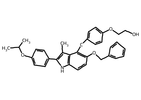 Cc1c(-c2ccc(OC(C)C)cc2)[nH]c2ccc(OCc3ccccc3)c(Cc3ccc(OCCO)cc3)c12